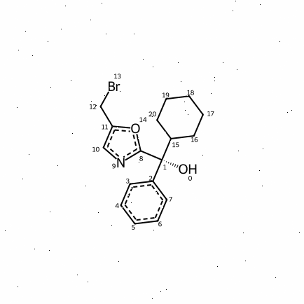 O[C@](c1ccccc1)(c1ncc(CBr)o1)C1CCCCC1